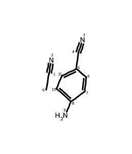 CC#N.N#Cc1ccc(N)cc1